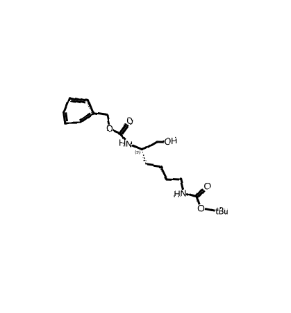 CC(C)(C)OC(=O)NCCCC[C@@H](CO)NC(=O)OCc1ccccc1